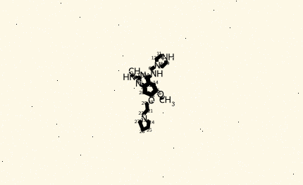 CNc1nc(NCN2CCNCC2)c2cc(OC)c(OCCCN3CCCC3)cc2n1